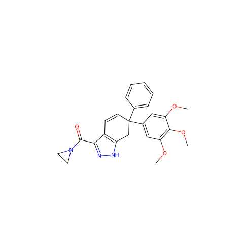 COc1cc(C2(c3ccccc3)C=Cc3c(C(=O)N4CC4)n[nH]c3C2)cc(OC)c1OC